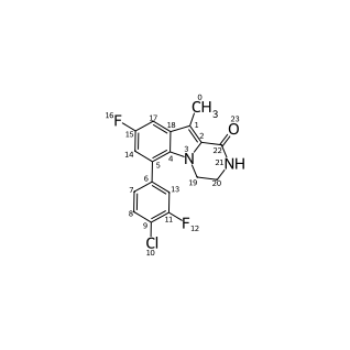 Cc1c2n(c3c(-c4ccc(Cl)c(F)c4)cc(F)cc13)CCNC2=O